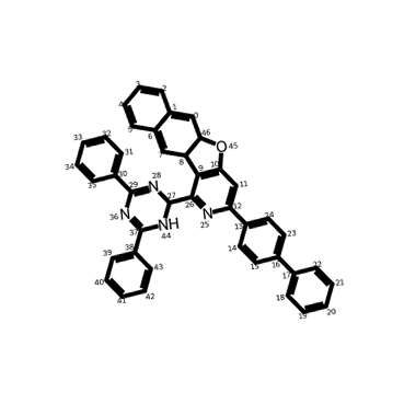 C1=c2ccccc2=CC2c3c(cc(-c4ccc(-c5ccccc5)cc4)nc3C3N=C(c4ccccc4)N=C(c4ccccc4)N3)OC12